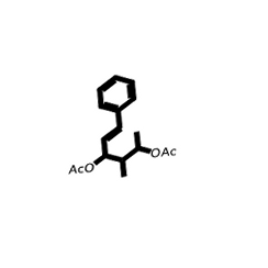 CC(=O)OC(C)C(C)C(C=Cc1ccccc1)OC(C)=O